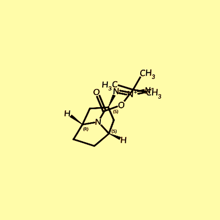 CC(C)(C)OC(=O)N1[C@@H]2CC[C@H]1C[C@H](N=[N+]=[N-])C2